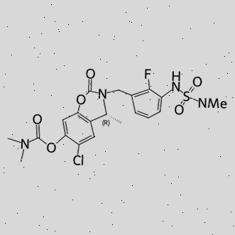 CNS(=O)(=O)Nc1cccc(CN2C(=O)Oc3cc(OC(=O)N(C)C)c(Cl)cc3[C@H]2C)c1F